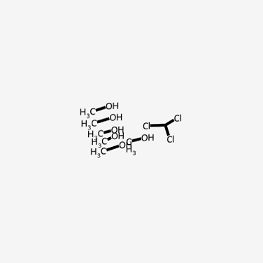 CO.CO.CO.CO.CO.CO.ClC(Cl)Cl